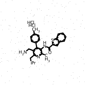 Cc1ccc(-c2c(CN)c(CC(C)C)nc(C)c2NC(=O)c2cc3ccccc3s2)cc1.Cl.Cl